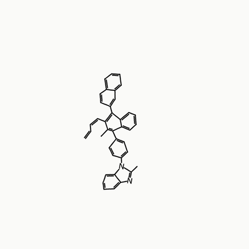 C=C/C=C\c1c(C)c(-c2ccc(-n3c(C)nc4ccccc43)cc2)c2ccccc2c1-c1ccc2ccccc2c1